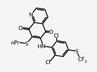 CCCSC1=C(Nc2c(Cl)cc(SC(F)(F)F)cc2Cl)C(=O)c2cccnc2C1=O